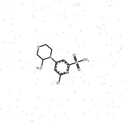 CC1COCCN1c1cc(Cl)nc(S(C)(=O)=O)c1